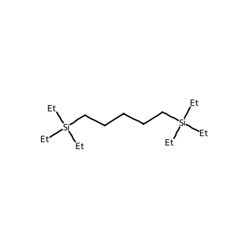 CC[Si](CC)(CC)CCCCC[Si](CC)(CC)CC